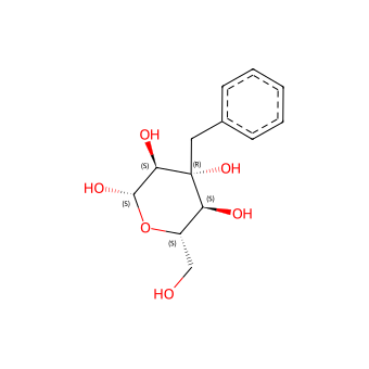 OC[C@@H]1O[C@H](O)[C@@H](O)[C@@](O)(Cc2ccccc2)[C@H]1O